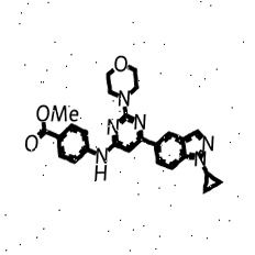 COC(=O)c1ccc(Nc2cc(-c3ccc4c(cnn4C4CC4)c3)nc(N3CCOCC3)n2)cc1